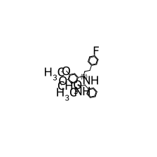 CNC(=O)C(N[C@H](CCc1ccc(F)cc1)c1ccc(OC)c(OC)c1)c1ccccc1